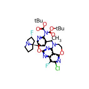 C[C@H](c1cccnc1N(C(=O)OC(C)(C)C)C(=O)OC(C)(C)C)N1CCOc2nc(Cl)c(F)c3nc(OC[C@@]45CCCN4C[C@H](F)C5)nc1c23